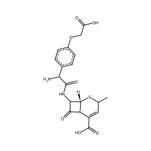 CC1C=C(C(=O)O)N2C(=O)C(NC(=O)C(N)c3ccc(OCC(=O)O)cc3)[C@@H]2S1